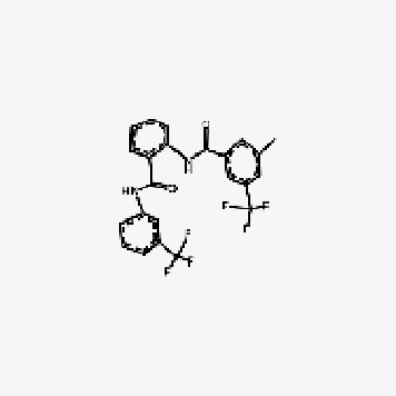 Cc1cc(C(=O)Nc2ccccc2C(=O)Nc2cccc(C(F)(F)F)c2)cc(C(F)(F)F)c1